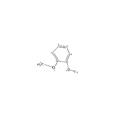 COc1ccccc1OI